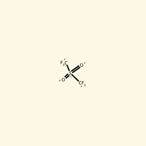 O=S(=O)(C(F)(F)F)C(F)(F)F